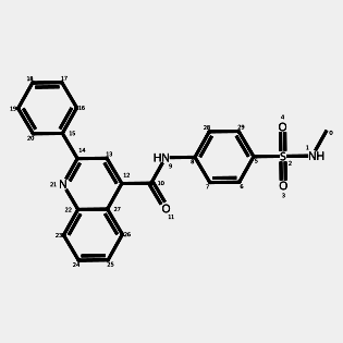 CNS(=O)(=O)c1ccc(NC(=O)c2cc(-c3ccccc3)nc3ccccc23)cc1